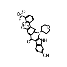 N#Cc1ccc2c(c1)[nH]c1c2c(=O)c2cc(OC(F)(F)F)c(-c3cccc(S(=O)(=O)F)c3)cc2n1C1CCOCC1